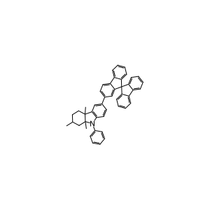 CC1CCC2(C)c3cc(-c4ccc5c(c4)C4(c6ccccc6-c6ccccc64)c4ccccc4-5)ccc3N(c3ccccc3)C2(C)C1